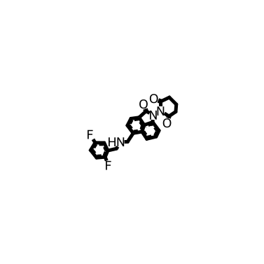 O=C1CCCC(=O)N1N1C(=O)c2ccc(CNCc3cc(F)ccc3F)c3cccc1c23